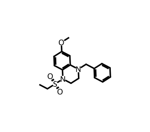 CCS(=O)(=O)N1CCN(Cc2ccccc2)c2cc(OC)ccc21